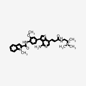 COc1cc(-c2csc3c(C=CC(=O)NC[C@H](C)N(C)C)cnc(N)c23)ccc1NC(=O)c1cc2ccccc2n1C